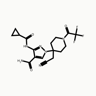 N#CCC1(n2cc(C(N)=O)c(NC(=O)C3CC3)n2)CCN(C(=O)C(F)(F)F)CC1